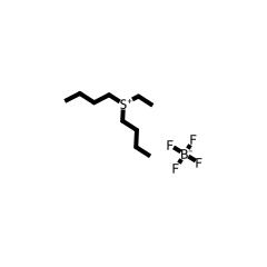 CCCC[S+](CC)CCCC.F[B-](F)(F)F